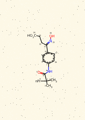 CCCC(C)(C)C(=O)Nc1ccc(/C(CCC(=O)O)=N/O)cc1